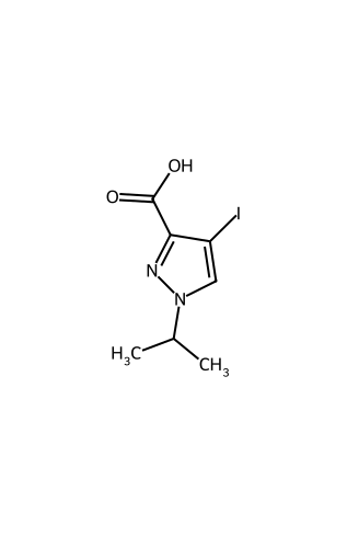 CC(C)n1cc(I)c(C(=O)O)n1